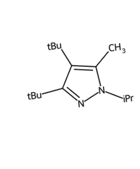 Cc1c(C(C)(C)C)c(C(C)(C)C)nn1C(C)C